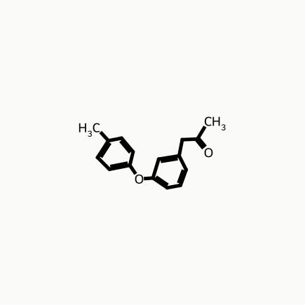 CC(=O)Cc1cccc(Oc2ccc(C)cc2)c1